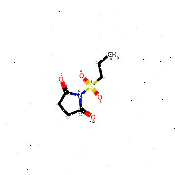 CCCS(=O)(=O)N1C(=O)CCC1=O